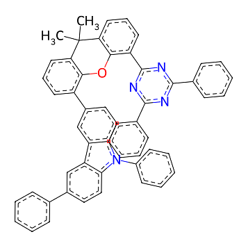 CC1(C)c2cccc(-c3ccc4c(c3)c3cc(-c5ccccc5)ccc3n4-c3ccccc3)c2Oc2c(-c3nc(-c4ccccc4)nc(-c4ccccc4)n3)cccc21